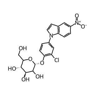 O=[N+]([O-])c1ccc2c(ccn2-c2ccc(O[C@H]3OC(CO)[C@@H](O)[C@H](O)C3O)c(Cl)c2)c1